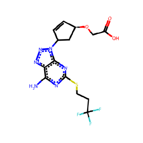 Nc1nc(SCCC(F)(F)F)nc2c1nnn2C1C=C[C@@H](OCC(=O)O)C1